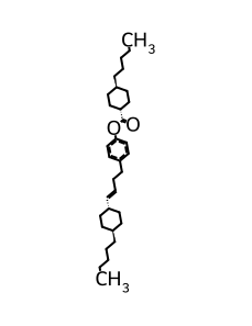 CCCCC[C@H]1CC[C@H](/C=C/CCc2ccc(OC(=O)[C@H]3CC[C@H](CCCCC)CC3)cc2)CC1